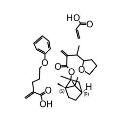 C=C(C(=O)OC1(C)C[C@H]2CC[C@@]1(C)C2(C)C)C(C)C1CCCO1.C=C(CCCOc1ccccc1)C(=O)O.C=CC(=O)O